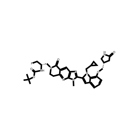 Cn1c(-c2cc3cccc(OC[C@@H]4CNC(=O)C4)c3n2CC2CC2)nc2cc3c(nc21)CCN(C[C@@H](CF)NC(=O)OC(C)(C)C)C3=O